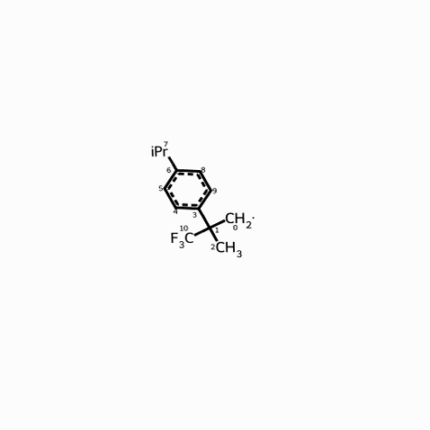 [CH2]C(C)(c1ccc(C(C)C)cc1)C(F)(F)F